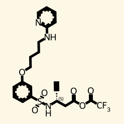 C#C[C@H](CC(=O)OC(=O)C(F)(F)F)NS(=O)(=O)c1cccc(OCCCCNc2ccccn2)c1